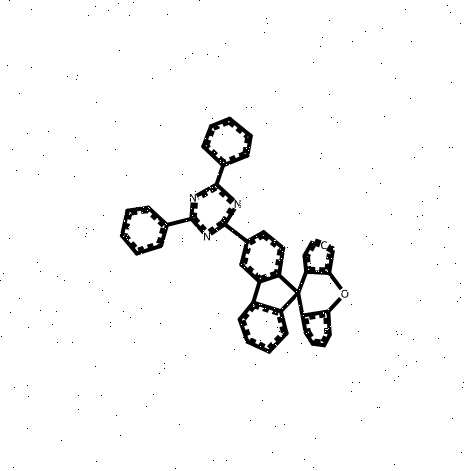 c1ccc(-c2nc(-c3ccccc3)nc(-c3ccc4c(c3)-c3ccccc3C43c4ccccc4Oc4ccccc43)n2)cc1